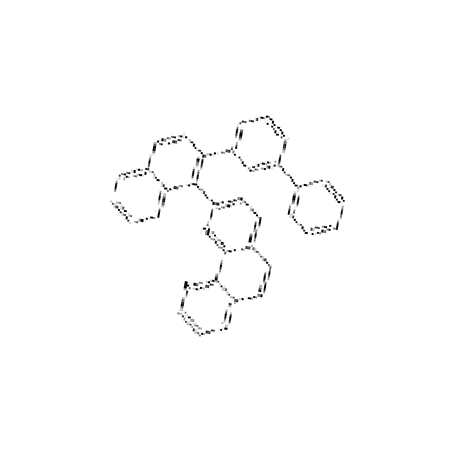 c1ccc(-c2cccc(-c3ccc4ccccc4c3-c3ccc4ccc5cccnc5c4n3)c2)cc1